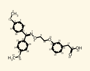 CSc1ccc(C(=NOCCOc2cccc(CC(=O)O)c2)c2ccc(SC)cc2)cc1